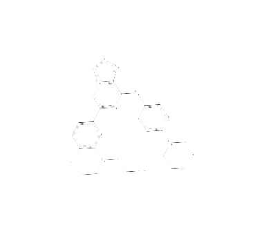 OCCN1CCOc2ccc(-c3cn4ccnc4c(Nc4ccc(N5CCOCC5)cc4)n3)cc21